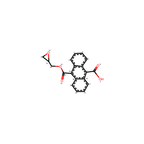 O=C(O)c1c2ccccc2c(C(=O)OCC2CO2)c2ccccc12